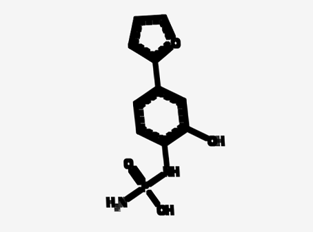 NP(=O)(O)Nc1ccc(-c2ccco2)cc1O